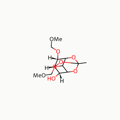 COCOC1C2OC3(C)OC1[C@H](O)[C@@H](O3)[C@@H]2OCOC